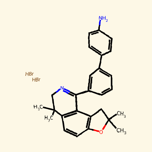 Br.Br.CC1(C)Cc2c(ccc3c2C(c2cccc(-c4ccc(N)cc4)c2)=NCC3(C)C)O1